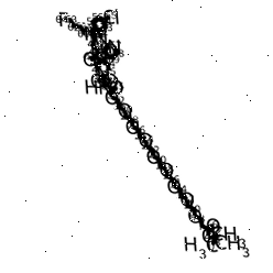 CC(C)(C)OC(=O)CCOCCOCCOCCOCCOCCOCCOCCOCCOC(=O)NS(=O)(=O)N1CCC2(CC1)C(=O)N(Cc1nc3cc(Cl)ccc3n1CCCCF)c1cnccc12